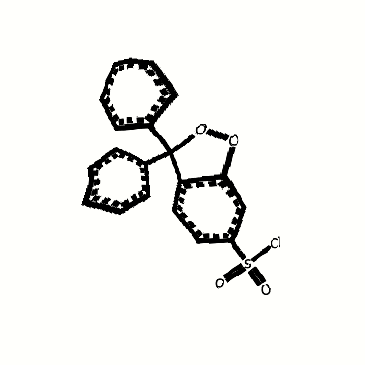 O=S(=O)(Cl)c1ccc2c(c1)OOC2(c1ccccc1)c1ccccc1